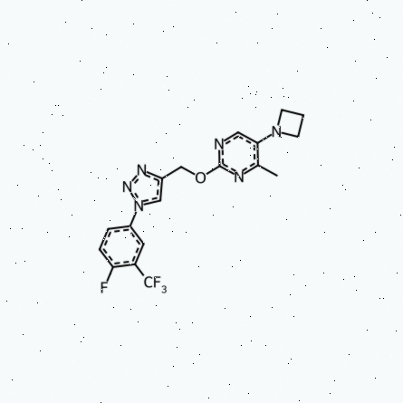 Cc1nc(OCc2cn(-c3ccc(F)c(C(F)(F)F)c3)nn2)ncc1N1CCC1